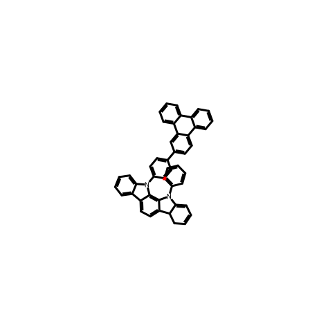 C1=CCC2C(=C1)N(c1ccccc1)c1c2ccc2c3ccccc3n(-c3ccc(-c4ccc5c6ccccc6c6ccccc6c5c4)cc3)c12